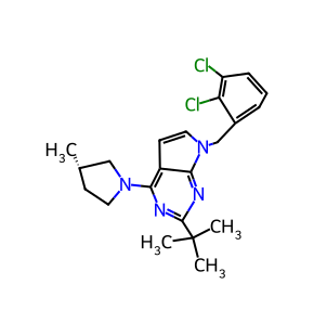 C[C@H]1CCN(c2nc(C(C)(C)C)nc3c2ccn3Cc2cccc(Cl)c2Cl)C1